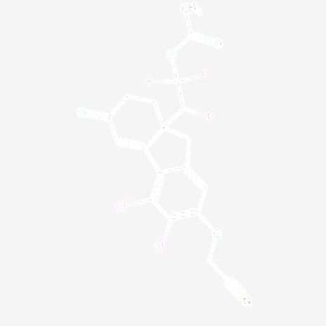 CC(=O)OC(F)(F)C(F)C12CCC(=O)C=C1c1c(cc(OCC#N)c(Cl)c1Cl)C2